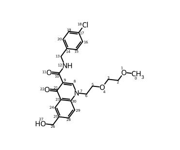 COCCOCCn1cc(C(=O)NCc2ccc(Cl)cc2)c(=O)c2cc(CO)ccc21